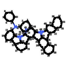 c1ccc(N(c2ccccc2)c2cccc3c4cccc5c6c7c8cc9ccccc9c9c%10cc%11ccccc%11cc%10n(c7cnc6n(c23)c45)c89)cc1